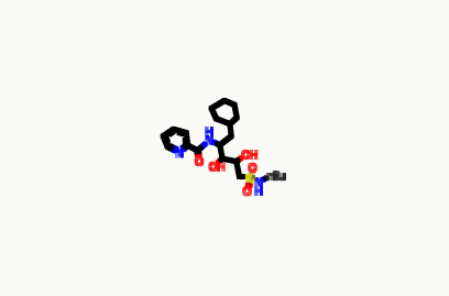 CCCCNS(=O)(=O)CC(O)C(O)C(CC1CCCCC1)NC(=O)c1ccccn1